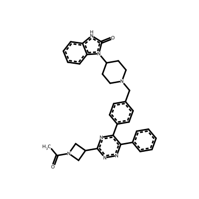 CC(=O)N1CC(c2nnc(-c3ccccc3)c(-c3ccc(CN4CCC(n5c(=O)[nH]c6ccccc65)CC4)cc3)n2)C1